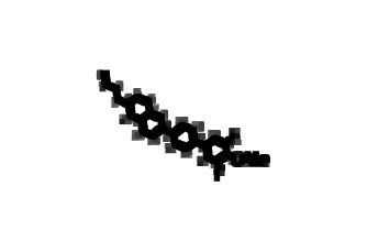 C=CCCc1ccc2cc(-c3ccc(-c4cc(F)c(OC)c(F)c4)cc3)ccc2c1